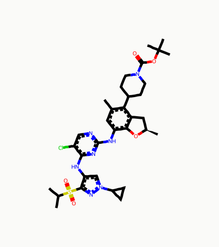 Cc1cc(Nc2ncc(Cl)c(Nc3cn(C4CC4)nc3S(=O)(=O)C(C)C)n2)c2c(c1C1CCN(C(=O)OC(C)(C)C)CC1)C[C@@H](C)O2